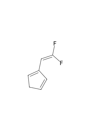 FC(F)=CC1=CCC=C1